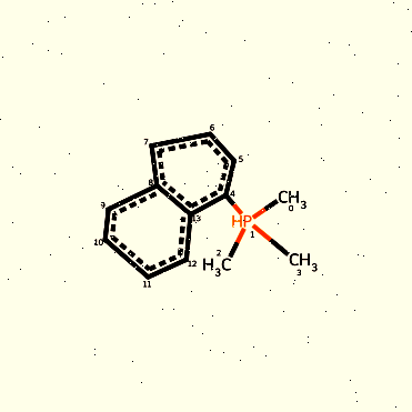 C[PH](C)(C)c1cccc2ccccc12